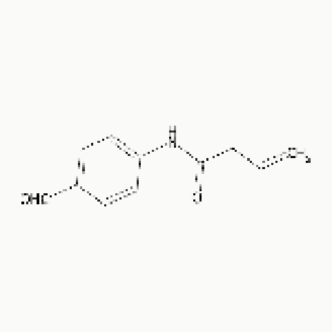 C=CCC(=O)Nc1ccc(C=O)cc1